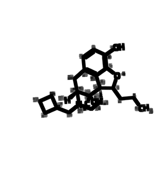 CCCC1Oc2c(O)ccc3c2[C@@]12CCN(CC1CCC1)[C@H](C3)[C@@]2(C)O